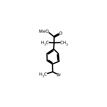 COC(=O)C(C)(C)c1ccc(C(C)Br)cc1